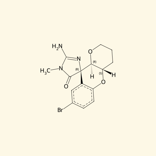 CN1C(=O)[C@@]2(N=C1N)c1cc(Br)ccc1O[C@H]1CCCO[C@@H]12